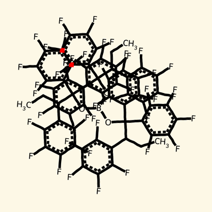 CCC(c1c(F)c(F)c(F)c(F)c1F)C(OB(OC(c1c(F)c(F)c(F)c(F)c1F)(c1c(F)c(F)c(F)c(F)c1F)C(CC)c1c(F)c(F)c(F)c(F)c1F)OC(c1c(F)c(F)c(F)c(F)c1F)(c1c(F)c(F)c(F)c(F)c1F)C(CC)c1c(F)c(F)c(F)c(F)c1F)(c1c(F)c(F)c(F)c(F)c1F)c1c(F)c(F)c(F)c(F)c1F